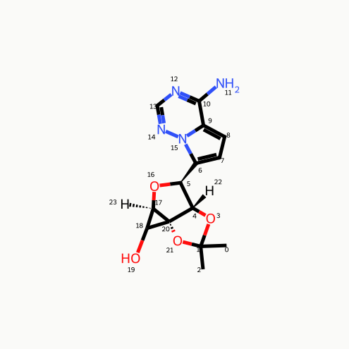 CC1(C)O[C@H]2[C@H](c3ccc4c(N)ncnn34)O[C@@H]3C(O)[C@@]32O1